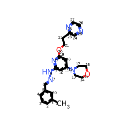 Cc1cccc(C=NNc2cc(N3CCOCC3)cc(OCCc3cnccn3)n2)c1